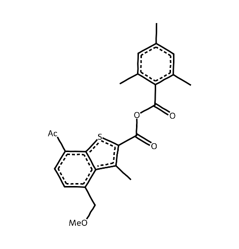 COCc1ccc(C(C)=O)c2sc(C(=O)OC(=O)c3c(C)cc(C)cc3C)c(C)c12